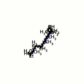 CCC(O)C/C(C)=C(\C)CCC(C)CCCC(C)CCC/C=C(C)/C=C/C=C(C)/C=C/C1C(C)C[C@@H](O)CC1(C)C